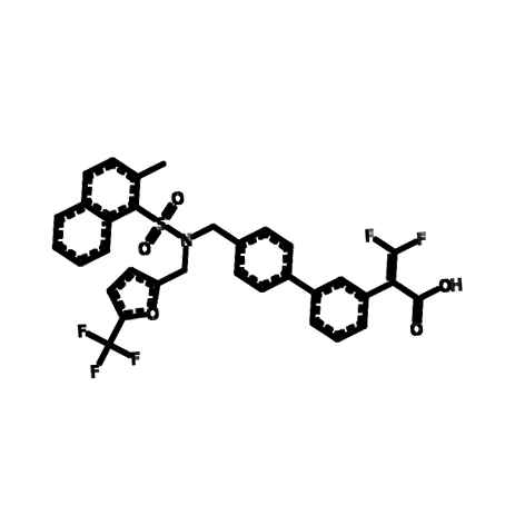 Cc1ccc2ccccc2c1S(=O)(=O)N(Cc1ccc(-c2cccc(C(C(=O)O)=C(F)F)c2)cc1)Cc1ccc(C(F)(F)F)o1